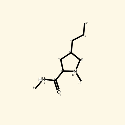 CCCC1CC(C(=O)NC)N(C)C1